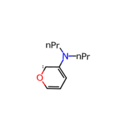 CCCN(CCC)C1=CC=CO[C]1